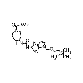 COC(=O)N1CCCC(NC(=O)Nc2cnc3c(ccn3COCC[Si](C)(C)C)n2)CC1